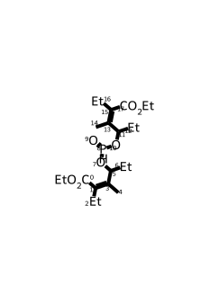 CCOC(=O)C(CC)=C(C)C(CC)O[PH](=O)OC(CC)C(C)=C(CC)C(=O)OCC